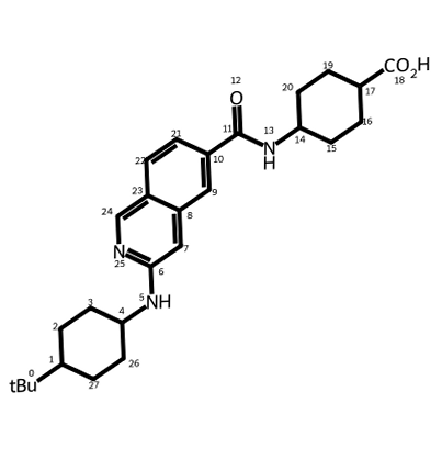 CC(C)(C)C1CCC(Nc2cc3cc(C(=O)NC4CCC(C(=O)O)CC4)ccc3cn2)CC1